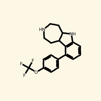 FC(F)(F)Oc1ccc(-c2cccc3c2C2CCNCCC2N3)cc1